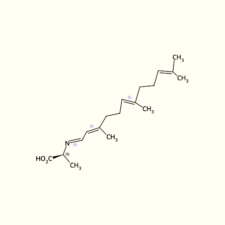 CC(C)=CCC/C(C)=C/CC/C(C)=C/C=N/[C@@H](C)C(=O)O